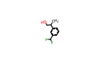 [CH2]C(CO)c1cccc(C(F)F)c1